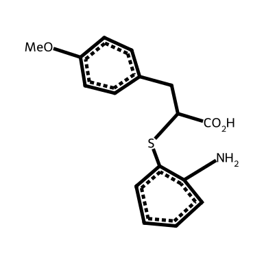 COc1ccc(CC(Sc2ccccc2N)C(=O)O)cc1